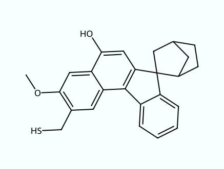 COc1cc2c(O)cc3c(c2cc1CS)-c1ccccc1C31CC2CCC1C2